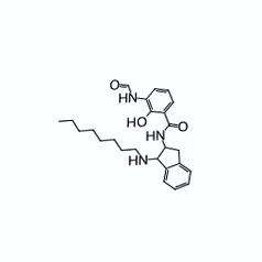 CCCCCCCCNC1c2ccccc2CC1NC(=O)c1cccc(NC=O)c1O